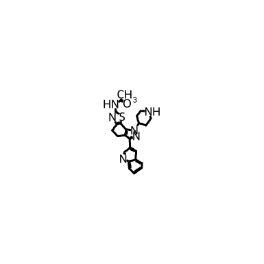 CC(=O)Nc1nc2c(s1)-c1c(c(-c3cnc4ccccc4c3)nn1C1CCNCC1)CC2